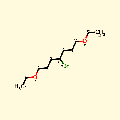 CCOCCCC(Br)CCCOCC